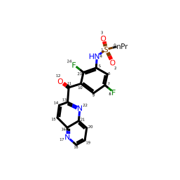 CCCS(=O)(=O)Nc1cc(F)cc(C(=O)c2ccc3ncccc3n2)c1F